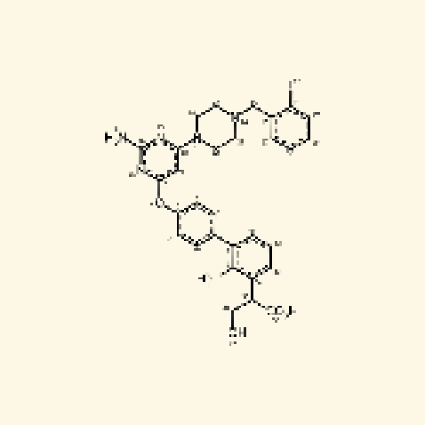 Cc1c(-c2ccc(Oc3cc(N4CCN(Cc5ccccc5I)CC4)nc(N)n3)cc2)cccc1C(CO)C(=O)O